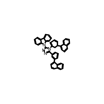 C1=CC(c2cccc3ccccc23)CC(n2c(-c3cccc(-c4cccc5ccccc45)c3)nnc2-n2c3ccccc3c3ccccc32)=C1